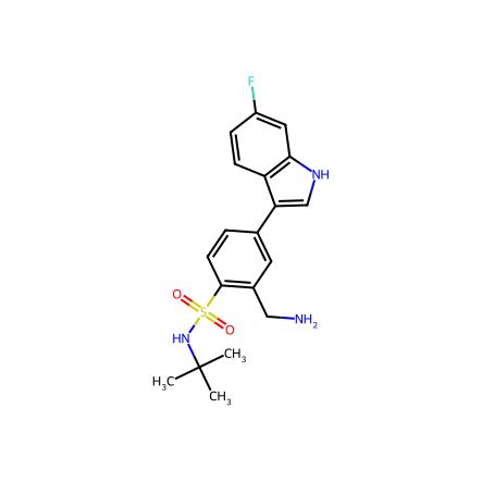 CC(C)(C)NS(=O)(=O)c1ccc(-c2c[nH]c3cc(F)ccc23)cc1CN